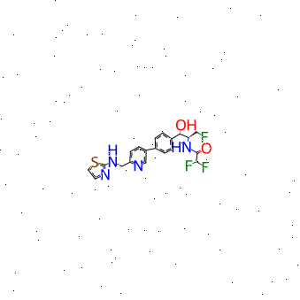 O=C(N[C@H](CF)[C@@H](O)c1ccc(-c2ccc(CNc3nccs3)nc2)cc1)C(F)F